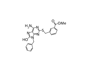 COC(=O)c1cccc(CSc2nc(N)c3nc(O)n(Cc4ccccc4)c3n2)c1